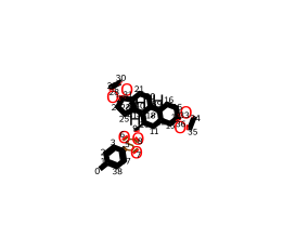 Cc1ccc(S(=O)(=O)OC[C@@H]2CC3CC4(CC[C@]3(C)[C@H]3CC[C@@]5(C)[C@@H](CCC56OCCO6)[C@H]23)OCCO4)cc1